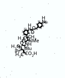 CNC(C(=O)N[C@H](C(=O)N(C)[C@H](/C=C(\C)C(=O)O)C(C)C)C(C)(C)C)C(C)(C)c1cccc(NC(=O)OCc2ccc(NI)cc2)c1